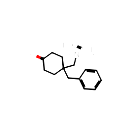 C=C.N#CCC1(Cc2ccccc2)CCC(=O)CC1